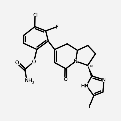 NC(=O)Oc1ccc(Cl)c(F)c1C1=CC(=O)N2C(CC[C@H]2c2ncc(I)[nH]2)C1